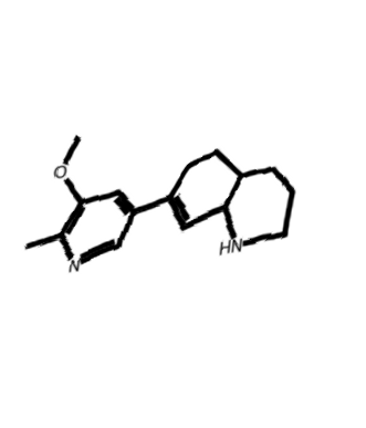 COc1cc(C2=CC3NCCCC3CC2)cnc1C